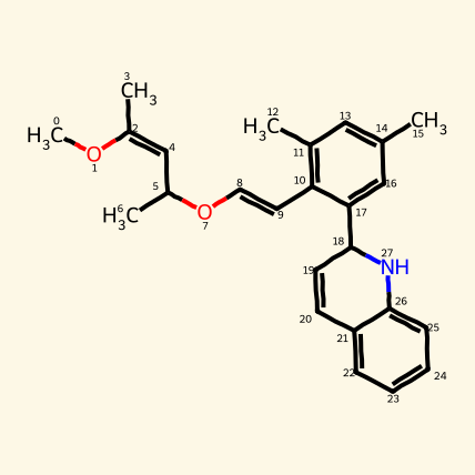 CO/C(C)=C\C(C)O/C=C/c1c(C)cc(C)cc1C1C=Cc2ccccc2N1